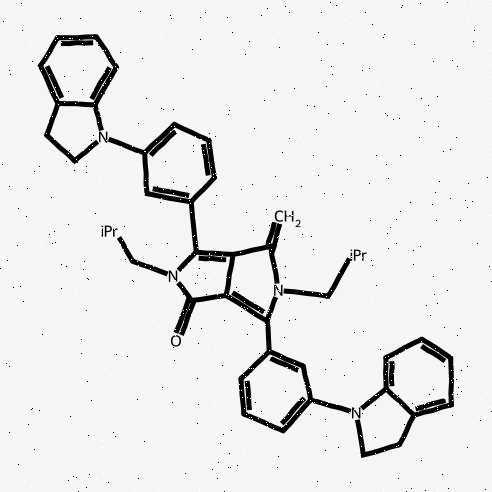 C=c1c2c(c(-c3cccc(N4CCc5ccccc54)c3)n1CC(C)C)C(=O)N(CC(C)C)C=2c1cccc(N2CCc3ccccc32)c1